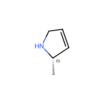 C[C@H]1C=CCN1